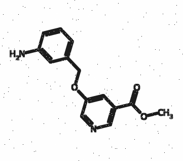 COC(=O)c1cncc(OCc2cccc(N)c2)c1